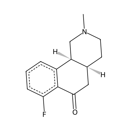 CN1CC[C@H]2CC(=O)c3c(F)cccc3[C@H]2C1